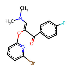 CN(C)C=C(Oc1cccc(Br)n1)C(=O)c1ccc(F)cc1